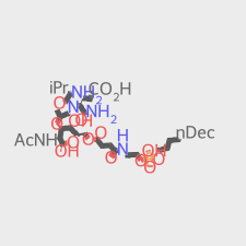 CCCCCCCCCCCCCCOP(=O)(O)OCCNC(=O)CCC(=O)OC[C@H]1O[C@H](O)[C@H](NC(C)=O)[C@@H](OC(C)CN(C(=O)[C@@H](N)C(C)C)[C@H](CCC(=O)O)C(N)=O)[C@@H]1O